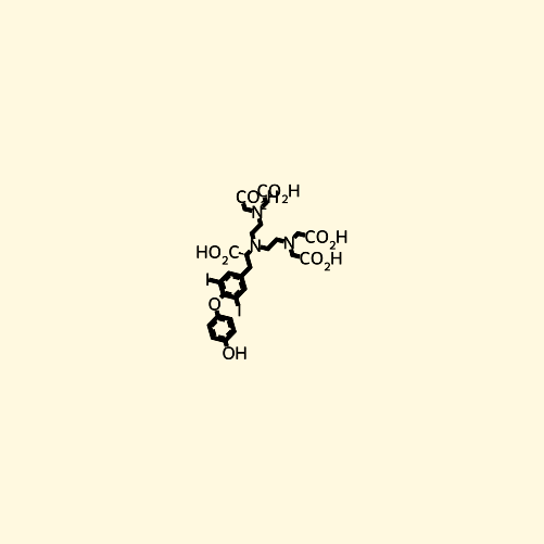 O=C(O)CN(CCN(CCN(CC(=O)O)CC(=O)O)[C@H](Cc1cc(I)c(Oc2ccc(O)cc2)c(I)c1)C(=O)O)CC(=O)O